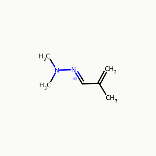 C=C(C)/C=N/N(C)C